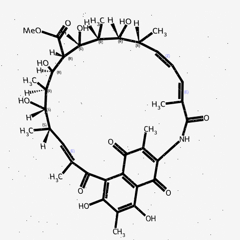 COC(=O)[C@H]1[C@H](O)[C@H](C)[C@@H](O)[C@@H](C)/C=C(\C)C(=O)c2c(O)c(C)c(O)c3c2C(=O)C(C)=C(NC(=O)/C(C)=C/C=C\[C@@H](C)[C@@H](O)[C@@H](C)[C@H]1O)C3=O